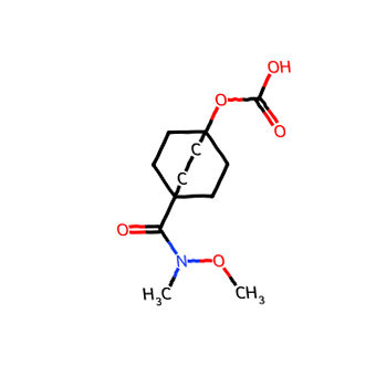 CON(C)C(=O)C12CCC(OC(=O)O)(CC1)CC2